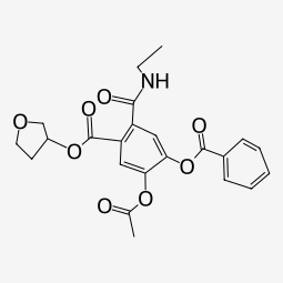 CCNC(=O)c1cc(OC(=O)c2ccccc2)c(OC(C)=O)cc1C(=O)OC1CCOC1